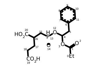 CCC(=O)OC(Cc1ccccc1)O[PH](=O)CC(CCC(=O)O)C(=O)O